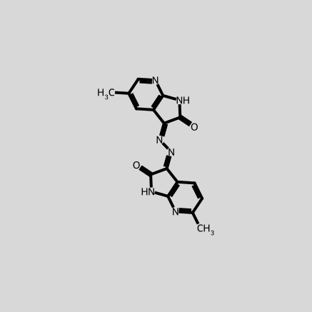 Cc1cnc2c(c1)/C(=N/N=C1\C(=O)Nc3nc(C)ccc31)C(=O)N2